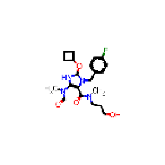 CN(C=O)C1=C(C(=O)N(C)CCCO)N(Cc2ccc(F)cc2)C(OC2CCC2)N1